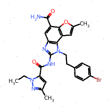 CCn1nc(C)cc1C(=O)Nc1nc2cc(C(N)=O)c3oc(C)cc3c2n1CCc1ccc(Br)cc1